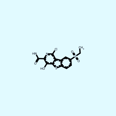 CCS(=O)(=O)c1ccc2sc3c(O)c(C([NH])=O)nc(Cl)c3c2c1